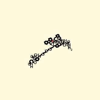 C[C@H](OCc1ccc(CCCOCCOCCOCCCc2cccc3c2n(C)c(=O)n3C2CCC(=O)NC2=O)cc1)[C@@H](CCC(N)=O)NC(=O)[C@H]1Cc2cccc3c2N1C(=O)[C@H](NC(=O)OCC1c2ccccc2-c2ccccc21)CC3